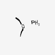 COC.P